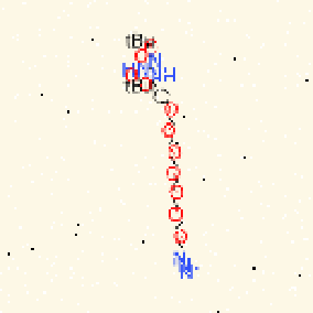 CC(C)(C)OC(=O)/N=C(/NCc1ccc(OCCOCCOCCOCCOCCOCCOCCN=[N+]=[N-])cc1)NC(=O)OC(C)(C)C